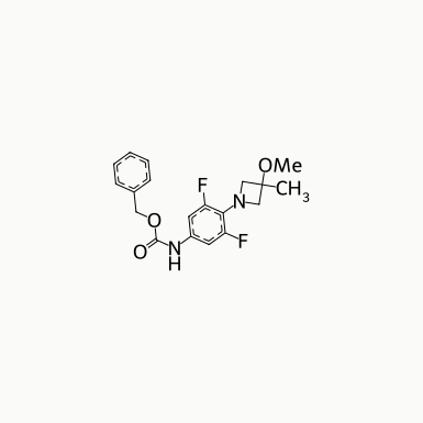 COC1(C)CN(c2c(F)cc(NC(=O)OCc3ccccc3)cc2F)C1